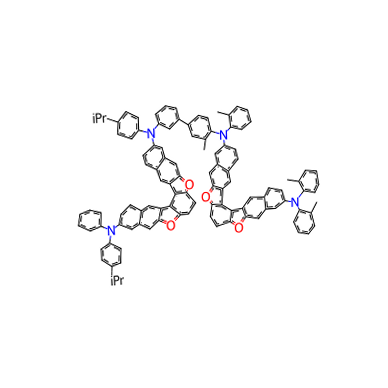 Cc1ccccc1N(c1ccc2cc3c(cc2c1)oc1ccc2oc4cc5cc(N(c6ccccc6C)c6ccc(-c7cccc(N(c8ccc(C(C)C)cc8)c8ccc9cc%10c(cc9c8)oc8ccc9oc%11cc%12cc(N(c%13ccccc%13)c%13ccc(C(C)C)cc%13)ccc%12cc%11c9c8%10)c7)cc6C)ccc5cc4c2c13)c1ccccc1C